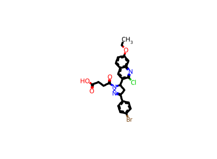 CCOc1ccc2cc(C3CC(c4ccc(Br)cc4)=NN3C(=O)CCC(=O)O)c(Cl)nc2c1